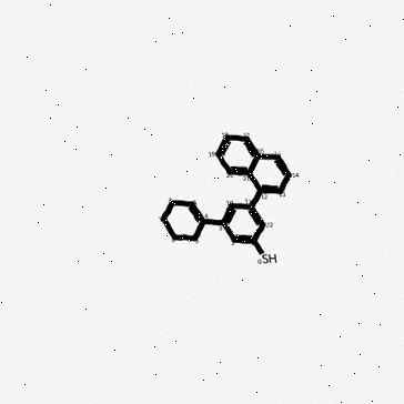 Sc1cc(C2=CCCCC2)cc(-c2cccc3ccccc23)c1